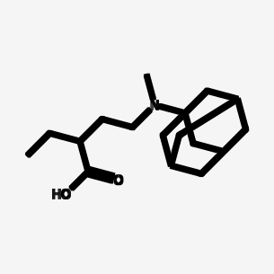 CCC(CCN(C)C12CC3CC(CC(C3)C1)C2)C(=O)O